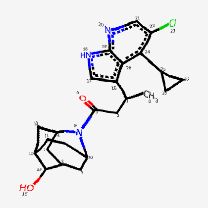 CC(CC(=O)N1C2CC3CC1CC(C2)C3O)c1c[nH]c2ncc(Cl)c(C3CC3)c12